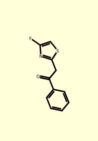 O=C(Cc1nc(F)cs1)c1ccccc1